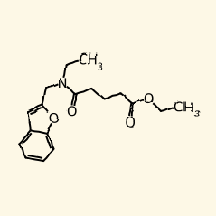 CCOC(=O)CCCC(=O)N(CC)Cc1cc2ccccc2o1